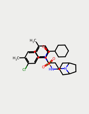 Cc1ccc(S(=O)(=O)NC2CC3CCC(C2)N3CCCN(C(=O)C2CCCCC2)c2ccc(C)c(Cl)c2)cc1